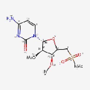 CNS(=O)(=O)CC1O[C@@H](n2ccc(N)nc2=O)[C@H](OC)[C@@H]1OC(C)C